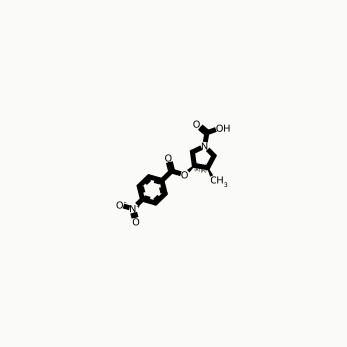 C[C@@H]1CN(C(=O)O)C[C@@H]1OC(=O)c1ccc([N+](=O)[O-])cc1